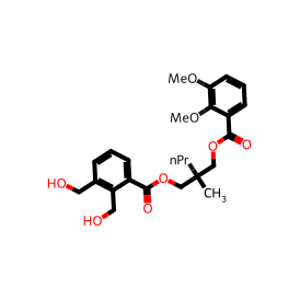 CCCC(C)(COC(=O)c1cccc(CO)c1CO)COC(=O)c1cccc(OC)c1OC